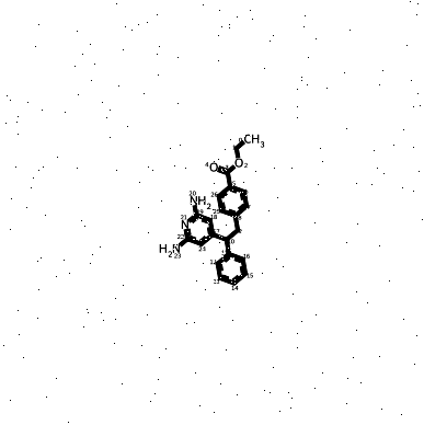 CCOC(=O)c1ccc(CC(c2ccccc2)c2cc(N)nc(N)c2)cc1